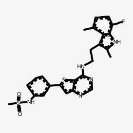 Cc1[nH]c2c(F)ccc(C)c2c1CCNc1ncnc2cc(-c3cccc(NS(C)(=O)=O)c3)sc12